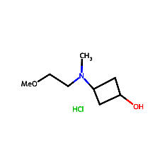 COCCN(C)C1CC(O)C1.Cl